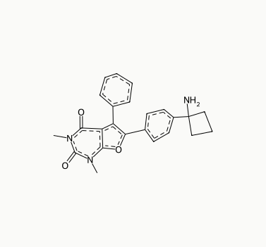 Cn1c(=O)c2c(-c3ccccc3)c(-c3ccc(C4(N)CCC4)cc3)oc2n(C)c1=O